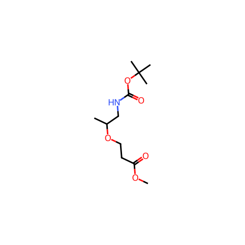 COC(=O)CCOC(C)CNC(=O)OC(C)(C)C